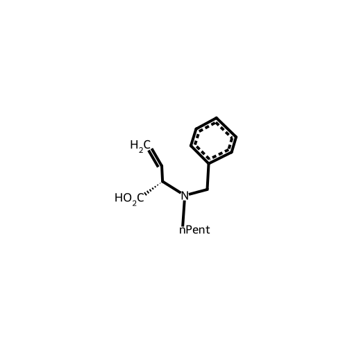 C=C[C@@H](C(=O)O)N(CCCCC)Cc1ccccc1